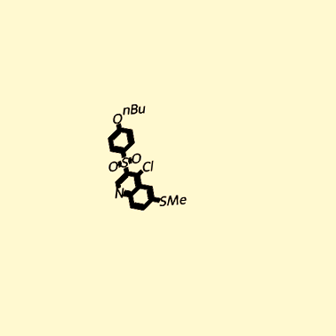 CCCCOc1ccc(S(=O)(=O)c2cnc3ccc(SC)cc3c2Cl)cc1